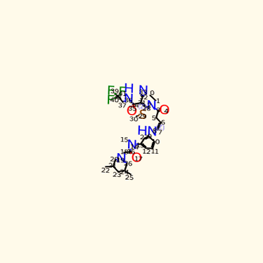 CCN(C(=O)C/C=C\Nc1cccc(N(C)C(=O)CN2CC(C)CC(C)C2)c1)/C(SC)=C(\C#N)C(=O)NCC(F)(F)F